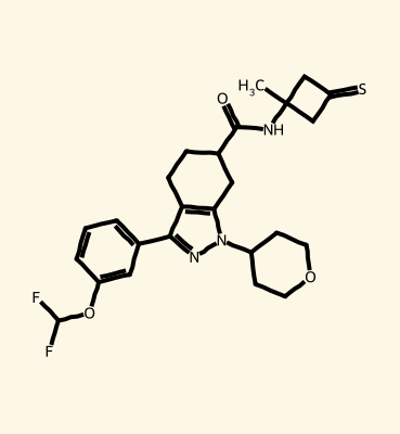 CC1(NC(=O)C2CCc3c(-c4cccc(OC(F)F)c4)nn(C4CCOCC4)c3C2)CC(=S)C1